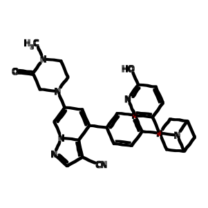 CN1CCN(c2cc(-c3ccc(N4CC5CC(C4)N5Cc4ccc(O)nc4)nc3)c3c(C#N)cnn3c2)CC1=O